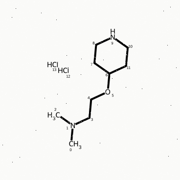 CN(C)CCOC1CCNCC1.Cl.Cl